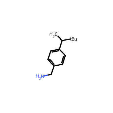 CC(c1ccc(CN)cc1)C(C)(C)C